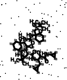 CC1([C@H](NC(=O)NC2(CS(=O)(=O)C(C)(C)C)CCCCC2)C(=O)N2C[C@H]3C([C@H]2C(=O)NC(CC2CC2)C(=O)C(=O)NC2CC2)C3(C)C)CCCCC1